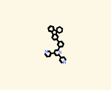 c1cncc(-c2cc(-c3ccncc3)nc(-c3cccc(-c4ccc5c(c4)C4(CCCCC4)c4ccccc4-5)c3)c2)c1